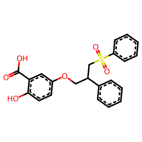 O=C(O)c1cc(OCC(CS(=O)(=O)c2ccccc2)c2ccccc2)ccc1O